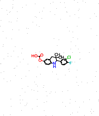 CC1(C)Cc2cc(OC(=O)O)ccc2NC1c1ccc(F)c(Cl)c1